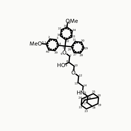 COc1ccc(C(OCC(O)COCCCNC23CC4CC(CC(C4)C2)C3)(c2ccccc2)c2ccc(OC)cc2)cc1